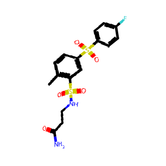 Cc1ccc(S(=O)(=O)c2ccc(F)cc2)cc1S(=O)(=O)NCCC(N)=O